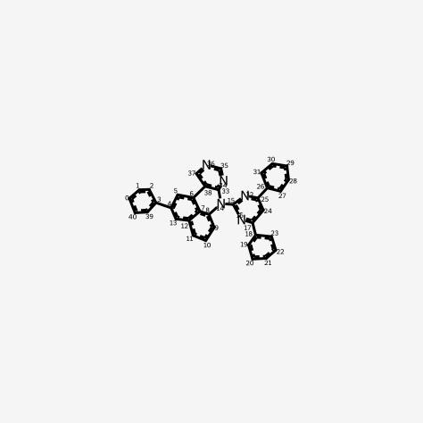 c1ccc(-c2cc3c4c(cccc4c2)N(c2nc(-c4ccccc4)cc(-c4ccccc4)n2)c2ncncc2-3)cc1